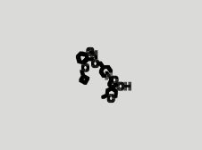 CC1CC(CCN2CCC(COc3noc4cccc(OCC5CCC5)c34)CC2)(C(=O)O)CCO1